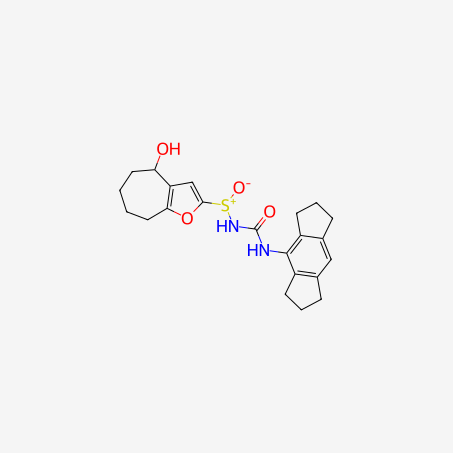 O=C(Nc1c2c(cc3c1CCC3)CCC2)N[S+]([O-])c1cc2c(o1)CCCCC2O